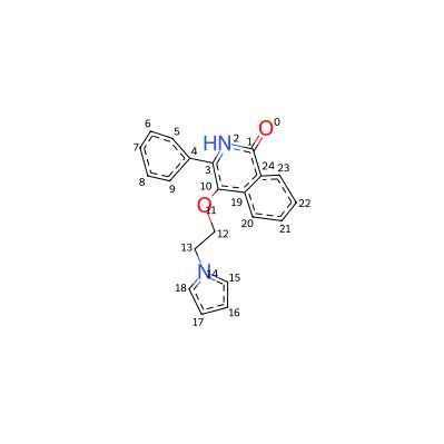 O=c1[nH]c(-c2ccccc2)c(OCCn2cccc2)c2ccccc12